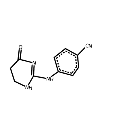 N#Cc1ccc(NC2=NC(=O)CCN2)cc1